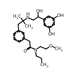 CCCN(CCOC)C(=O)Cc1cccc(CC(C)(C)NCC(O)c2cc(O)cc(O)c2)c1